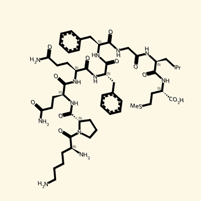 CSCC[C@H](NC(=O)[C@H](CC(C)C)NC(=O)CNC(=O)[C@H](Cc1ccccc1)NC(=O)[C@H](Cc1ccccc1)NC(=O)[C@H](CCC(N)=O)NC(=O)[C@H](CCC(N)=O)NC(=O)[C@@H]1CCCN1C(=O)[C@@H](N)CCCCN)C(=O)O